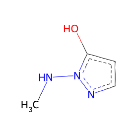 CNn1nccc1O